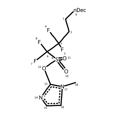 CCCCCCCCCCCCC(F)(F)C(F)(F)S(=O)(=O)Oc1nccn1C